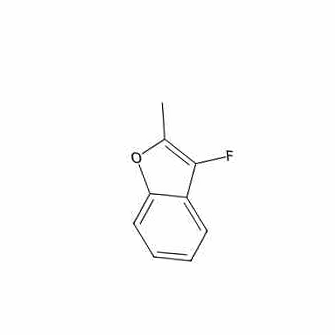 Cc1oc2ccccc2c1F